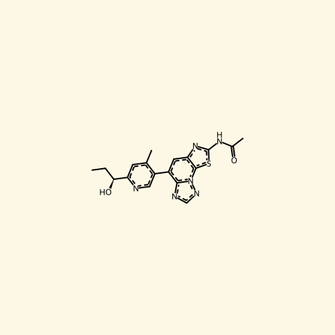 CC[C@H](O)c1cc(C)c(-c2cc3nc(NC(C)=O)sc3n3ncnc23)cn1